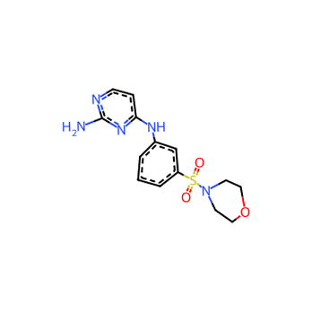 Nc1nccc(Nc2cccc(S(=O)(=O)N3CCOCC3)c2)n1